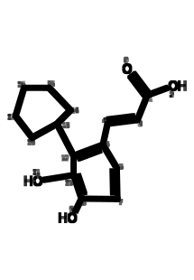 O=C(O)C=Cc1ccc(O)c(O)c1C1CCCCC1